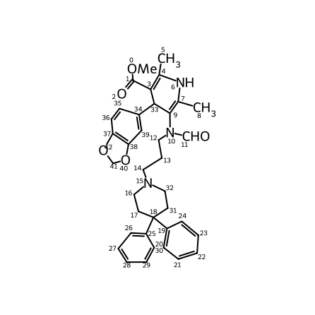 COC(=O)C1=C(C)NC(C)=C(N(C=O)CCCN2CCC(c3ccccc3)(c3ccccc3)CC2)C1c1ccc2c(c1)OCO2